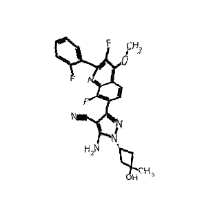 COc1c(F)c(-c2ccccc2F)nc2c(F)c(-c3nn([C@H]4C[C@@](C)(O)C4)c(N)c3C#N)ccc12